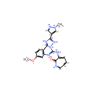 COc1ccc2c(c1)nc(Nc1ccccnc1=O)n1nc(-c3cnn(C)c3)nc21